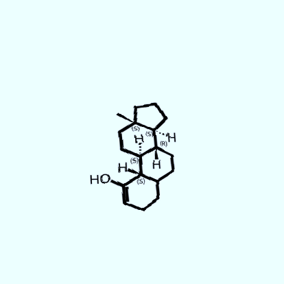 C[C@@]12CCC[C@H]1[C@@H]1CCC3CCC=C(O)[C@@H]3[C@H]1CC2